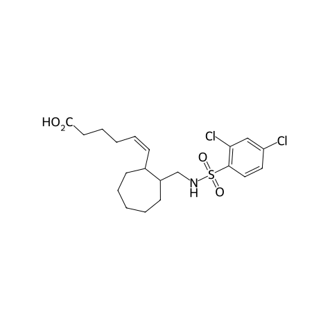 O=C(O)CCC/C=C\C1CCCCCC1CNS(=O)(=O)c1ccc(Cl)cc1Cl